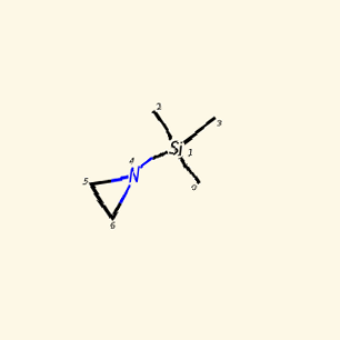 C[Si](C)(C)N1CC1